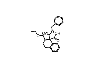 CCOC(=O)N1CCc2ccccc2C1(C(=O)O)C(=O)OCc1ccccc1